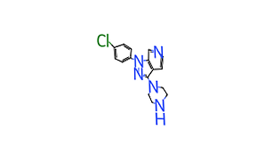 Clc1ccc(-n2nc(N3CCNCC3)c3ccncc32)cc1